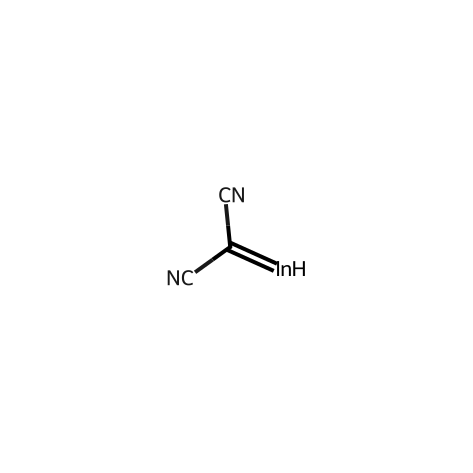 N#C[C](=[InH])C#N